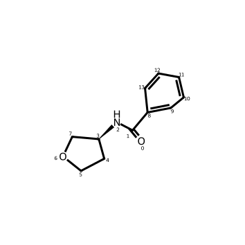 O=C(N[C@H]1CCOC1)c1ccccc1